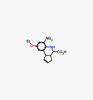 CCOc1cc2c(c([N+](=O)[O-])c1)NC(C(=O)O)C1CC=CC21